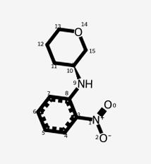 O=[N+]([O-])c1ccccc1N[C@H]1CCCOC1